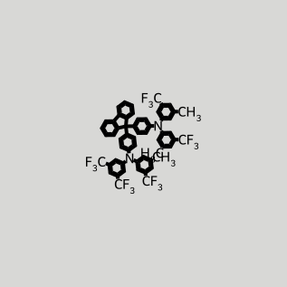 Cc1cc(N(c2ccc(C3(c4ccc(N(c5cc(C)cc(C(F)(F)F)c5)c5cc(C(F)(F)F)cc(C(F)(F)F)c5)cc4)c4ccccc4-c4ccccc43)cc2)c2cc(C)cc(C(F)(F)F)c2)cc(C(F)(F)F)c1